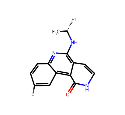 CC[C@H](Nc1nc2ccc(F)cc2c2c(=O)[nH]ccc12)C(F)(F)F